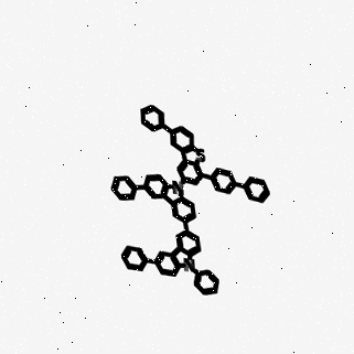 c1ccc(-c2ccc(-c3cc(-n4c5ccc(-c6ccccc6)cc5c5cc(-c6ccc7c(c6)c6cc(-c8ccccc8)ccc6n7-c6ccccc6)ccc54)cc4c3sc3ccc(-c5ccccc5)cc34)cc2)cc1